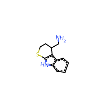 NCC1CCSc2[nH]c3ccccc3c21